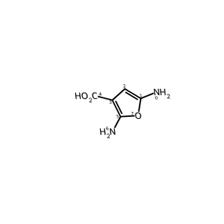 Nc1cc(C(=O)O)c(N)o1